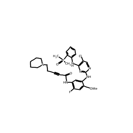 COc1cc(F)c(NC(=O)C#CCCN2CCCCC2)cc1Nc1ncc(Cl)c(Nc2ccccc2P(C)(C)=O)n1